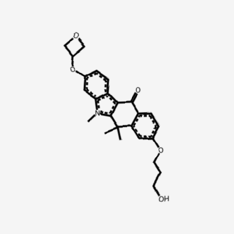 Cn1c2c(c3ccc(OC4COC4)cc31)C(=O)c1ccc(OCCCO)cc1C2(C)C